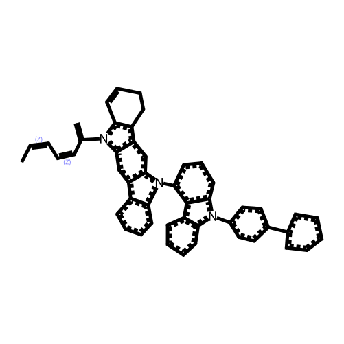 C=C(/C=C\C=C/C)n1c2c(c3cc4c(cc31)c1ccccc1n4-c1cccc3c1c1ccccc1n3-c1ccc(-c3ccccc3)cc1)CCC=C2